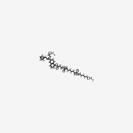 CCCCCCNC(=O)CCCCCCC(=O)NCCC(=O)Oc1cccc2c1CCC(N(CCC)CCc1cccs1)C2